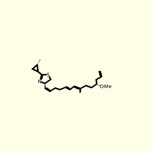 C=CC[C@@H](CC/C(C)=C/C=C/CC/C=C\[C@@H]1CSC(C2C[C@@H]2C)=N1)OC